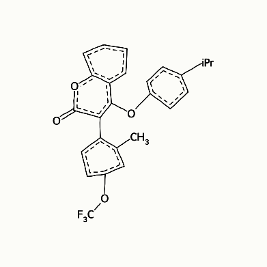 Cc1cc(OC(F)(F)F)ccc1-c1c(Oc2ccc(C(C)C)cc2)c2ccccc2oc1=O